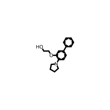 OCCOc1cc(-c2ccccc2)ccc1N1CCCC1